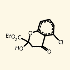 CCOC(=O)C1(O)CC(=O)c2c(Cl)cccc2O1